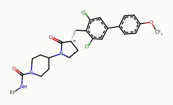 CCNC(=O)N1CCC(N2CC[C@@H](Cc3c(Cl)cc(-c4ccc(OC(F)(F)F)cc4)cc3Cl)C2=O)CC1